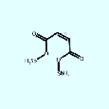 O=C(/C=C\C(=O)[O][SbH2])[O][SbH2]